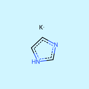 [K].c1c[nH]cn1